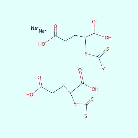 O=C(O)CCC(SC(=S)[S-])C(=O)O.O=C(O)CCC(SC(=S)[S-])C(=O)O.[Na+].[Na+]